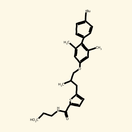 Cc1cc(OCC(C)Cc2ccc(C(=O)NCCC(=O)O)s2)cc(C)c1-c1ccc(C(C)(C)C)cc1